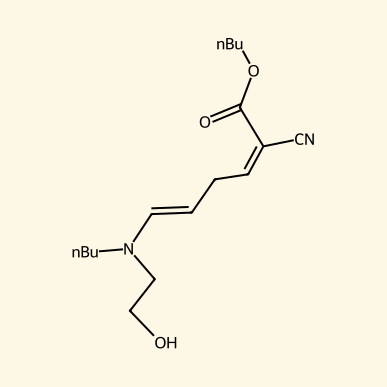 CCCCOC(=O)/C(C#N)=C\C/C=C/N(CCO)CCCC